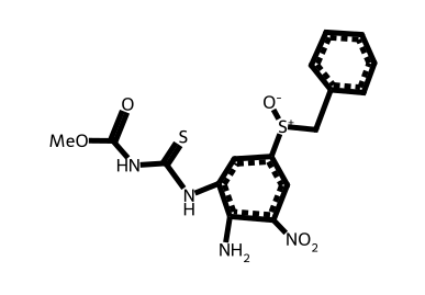 COC(=O)NC(=S)Nc1cc([S+]([O-])Cc2ccccc2)cc([N+](=O)[O-])c1N